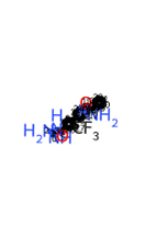 N=C(N)NC(=O)c1ccc(C2CCN(C(=O)[C@H](N)c3ccccc3)CC2)c(C(F)(F)F)c1